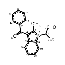 CCC(C=O)n1c(C)c(C(=O)c2ccccc2)c2ccccc21